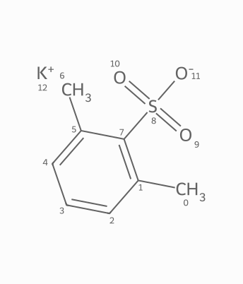 Cc1cccc(C)c1S(=O)(=O)[O-].[K+]